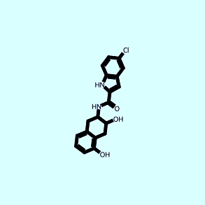 O=C(NC1Cc2cccc(O)c2CC1O)c1cc2cc(Cl)ccc2[nH]1